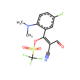 CN(C)c1ccc(F)cc1/C(OS(=O)(=O)C(F)(F)F)=C(/C#N)C=O